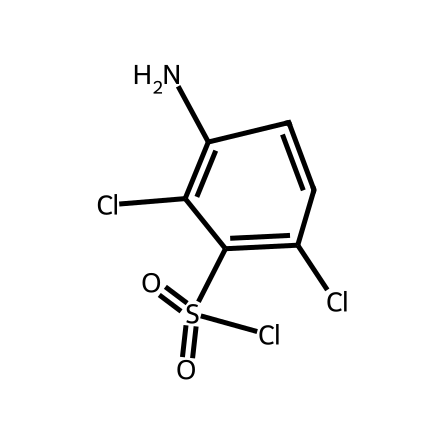 Nc1ccc(Cl)c(S(=O)(=O)Cl)c1Cl